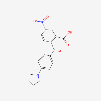 O=C(O)c1cc([N+](=O)[O-])ccc1C(=O)c1ccc(N2CCCC2)cc1